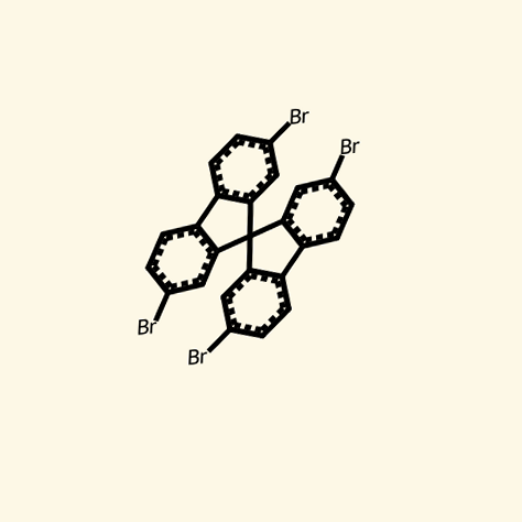 Brc1ccc2c(c1)C1(c3cc(Br)ccc3-2)c2cc(Br)ccc2-c2ccc(Br)cc21